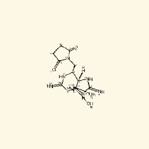 N=C1N[C@H]2[C@H](CN3C(=O)CCC3=O)NC(=N)N3CCC(O)(O)C23N1